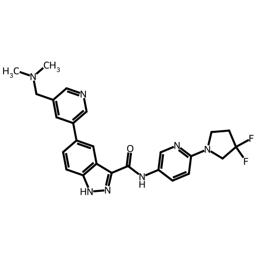 CN(C)Cc1cncc(-c2ccc3[nH]nc(C(=O)Nc4ccc(N5CCC(F)(F)C5)nc4)c3c2)c1